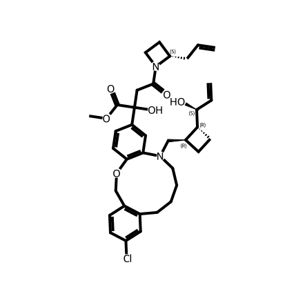 C=CC[C@H]1CCN1C(=O)CC(O)(C(=O)OC)c1ccc2c(c1)N(C[C@@H]1CC[C@H]1[C@@H](O)C=C)CCCCc1cc(Cl)ccc1CO2